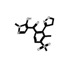 Cc1c(S(C)(=O)=O)ccc(C(=O)c2cnn(C)c2O)c1C1=NOCC1